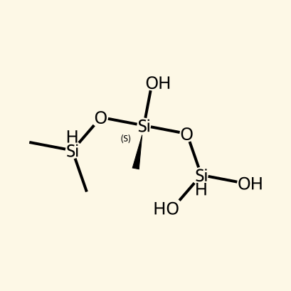 C[SiH](C)O[Si@](C)(O)O[SiH](O)O